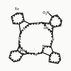 O=[N+]([O-])c1cccc2c3nc4nc(nc5[nH]c(nc6nc(nc([nH]3)c12)-c1ccccc1-6)c1ccccc51)-c1ccccc1-4.[Eu]